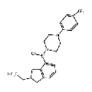 O=C(O)CC1Cc2cccc([S+]([O-])N3CCN(c4ccc(C(F)(F)F)cc4)CC3)c2C1